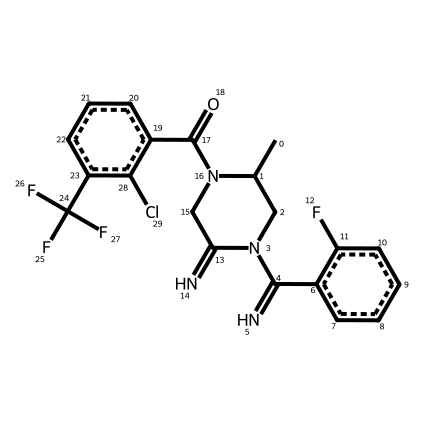 CC1CN(C(=N)c2ccccc2F)C(=N)CN1C(=O)c1cccc(C(F)(F)F)c1Cl